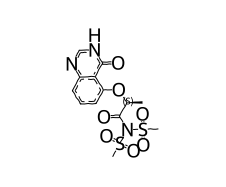 C[C@H](Oc1cccc2nc[nH]c(=O)c12)C(=O)N(S(C)(=O)=O)S(C)(=O)=O